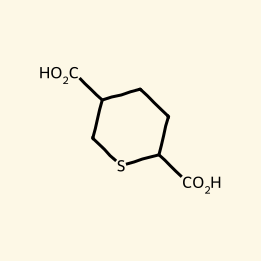 O=C(O)C1CCC(C(=O)O)SC1